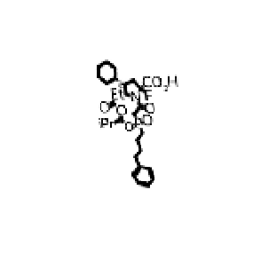 CCC(=O)OC(OP(=O)(CCCCc1ccccc1)CC(=O)N1C[C@H](C2CCCCC2)C[C@@]1(F)C(=O)O)C(C)C